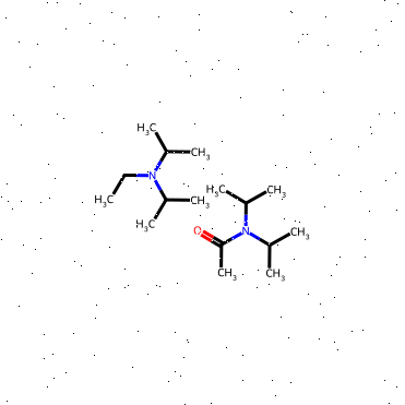 CC(=O)N(C(C)C)C(C)C.CCN(C(C)C)C(C)C